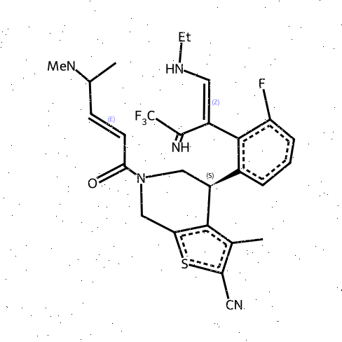 CCN/C=C(\C(=N)C(F)(F)F)c1c(F)cccc1[C@@H]1CN(C(=O)/C=C/C(C)NC)Cc2sc(C#N)c(C)c21